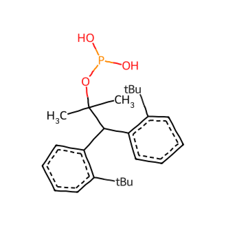 CC(C)(C)c1ccccc1C(c1ccccc1C(C)(C)C)C(C)(C)OP(O)O